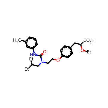 CCOC(Cc1ccc(OCCN(CC(CC)CC)C(=O)Nc2cccc(C)c2)cc1)C(=O)O